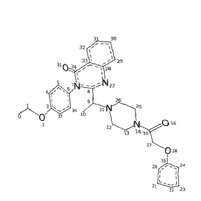 CCOc1ccc(-n2c(C(C)N3CCN(C(=O)COc4ccccc4)CC3)nc3ccccc3c2=O)cc1